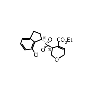 CCOC(=O)C1=CCOC[C@H]1S(=O)(=O)[C@H]1CCc2cccc(Cl)c21